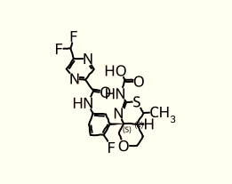 CC1SC(NC(=O)O)=N[C@@]2(c3cc(NC(=O)c4cnc(C(F)F)cn4)ccc3F)COCC[C@@H]12